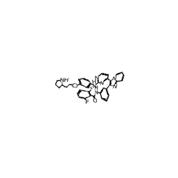 O=C(Nc1cccc(-c2nc3ccccn3c2-c2ccnc(Nc3cccc(OCCC4CCCN4)c3)n2)c1)c1c(F)cccc1F